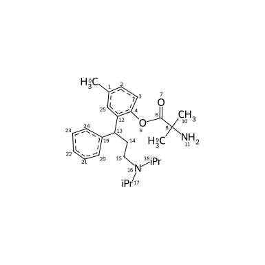 Cc1ccc(OC(=O)C(C)(C)N)c(C(CCN(C(C)C)C(C)C)c2ccccc2)c1